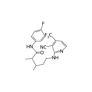 CC(CCNc1nccc(C(F)(F)F)c1C#N)C(C)C(=O)Nc1ccc(F)cc1